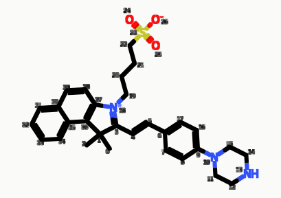 CC1(C)C(/C=C/c2ccc(N3CCNCC3)cc2)=[N+](CCCCS(=O)(=O)[O-])c2ccc3ccccc3c21